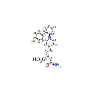 NC(=O)CN(CCC1CCN(c2ncccc2-c2ccc(F)cc2)CC1)C(=O)O